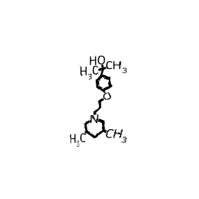 CC1C[C@H](C)CN(CCCOc2ccc(C(C)(C)O)cc2)C1